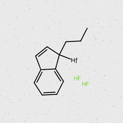 CCC[C]1([Hf])C=Cc2ccccc21.F.F